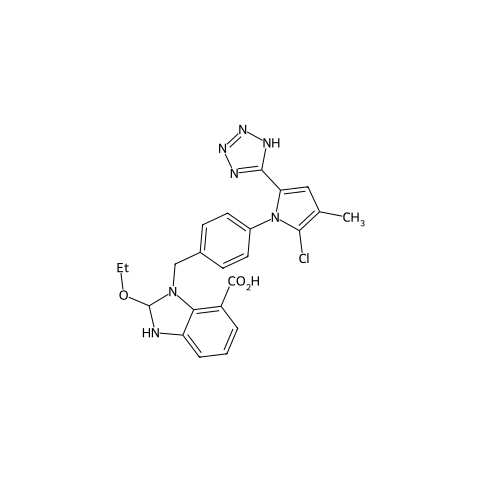 CCOC1Nc2cccc(C(=O)O)c2N1Cc1ccc(-n2c(-c3nnn[nH]3)cc(C)c2Cl)cc1